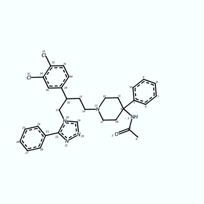 CC(=O)NC1(c2ccccc2)CCN(CCC(Cn2cnnc2-c2ccccc2)c2ccc(Cl)c(Cl)c2)CC1